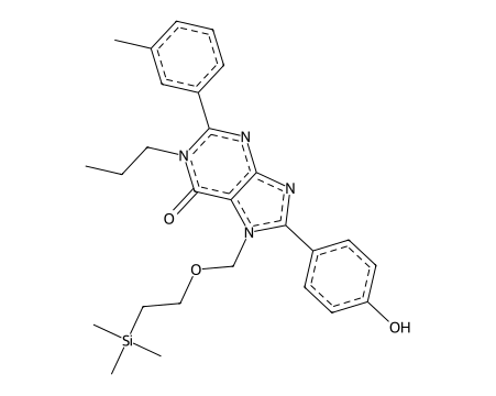 CCCn1c(-c2cccc(C)c2)nc2nc(-c3ccc(O)cc3)n(COCC[Si](C)(C)C)c2c1=O